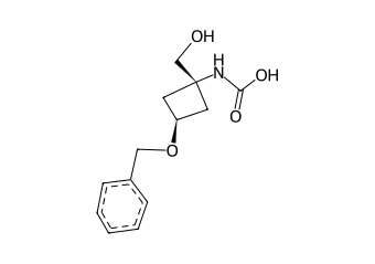 O=C(O)N[C@]1(CO)C[C@@H](OCc2ccccc2)C1